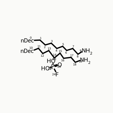 CCCCCCCCCCCCCCCCCCN.CCCCCCCCCCCCCCCCCCN.O=P(O)(O)F